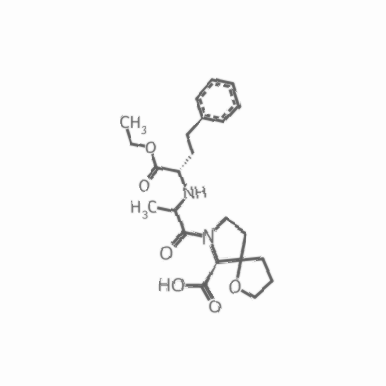 CCOC(=O)[C@H](CCc1ccccc1)NC(C)C(=O)N1CCC2(CCCO2)[C@H]1C(=O)O